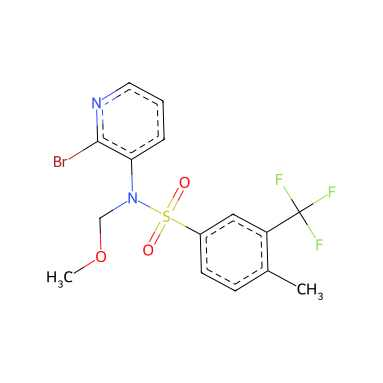 COCN(c1cccnc1Br)S(=O)(=O)c1ccc(C)c(C(F)(F)F)c1